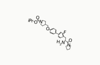 CC(C)OC(=O)N1CCC(COc2ccc(-c3ccc(CC(N)C(=O)N4CCCC4)c(F)c3)cc2)CC1